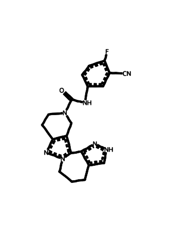 N#Cc1cc(NC(=O)N2CCc3nn4c(c3C2)-c2n[nH]cc2CCC4)ccc1F